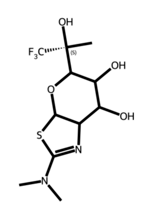 CN(C)C1=NC2C(OC([C@](C)(O)C(F)(F)F)C(O)C2O)S1